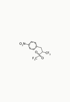 O=[N+]([O-])c1ccc(CC(C(F)(F)F)S(=O)(=O)C(F)(F)F)cc1